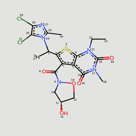 [3H]C(c1sc2c(c1C(=O)N1C[C@H](O)CO1)c(=O)n(C)c(=O)n2CC)n1c(C)nc(Cl)c1Cl